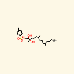 Cc1ccc(S(=O)(=O)OCC(O)C(C)(O)CCCC(C)CCCC(C)CCCC(C)C)cc1